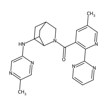 Cc1cnc(-c2ncccn2)c(C(=O)N2CC3CCC2C(Nc2cnc(C)cn2)C3)c1